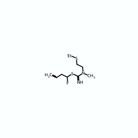 C=CCC(F)SC(=N)N(C)CCSCC